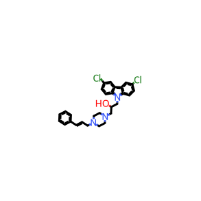 OC(CN1CCN(CC=Cc2ccccc2)CC1)Cn1c2ccc(Cl)cc2c2cc(Cl)ccc21